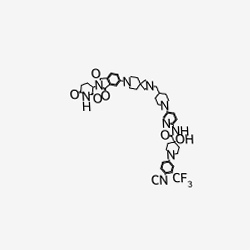 N#Cc1ccc(N2CCC(O)(C(=O)Nc3ccc(N4CCC(CN5CC6(CCN(c7ccc8c(c7)C(=O)N(C7CCC(=O)NC7=O)C8=O)CC6)C5)CC4)cn3)CC2)cc1C(F)(F)F